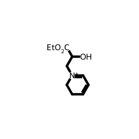 CCOC(=O)C(O)C[N+]1=CC=CCC1